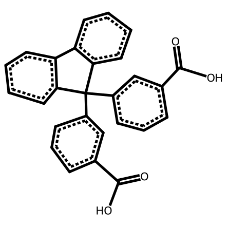 O=C(O)c1cccc(C2(c3cccc(C(=O)O)c3)c3ccccc3-c3ccccc32)c1